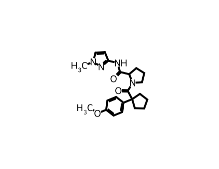 COc1ccc(C2(C(=O)N3CCCC3C(=O)Nc3ccn(C)n3)CCCC2)cc1